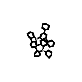 c1ccc(-c2cc(-c3ccccc3)cc(-n3c4ccccc4c4ccc5c(c43)-c3ccccc3N(c3ccccc3)c3ccccc3-5)c2)cc1